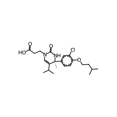 CC(C)CCOc1ccc([C@]2(C)NC(=O)N(CCC(=O)O)C=C2C(C)C)cc1Cl